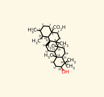 CC1CCC2(C(=O)O)CCC3(C)C(=CCC4C5(C)CCC(O)C(C)(C)C5CCC43C)C2C1C